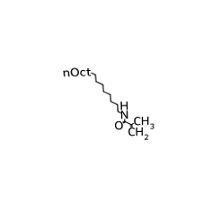 C=C(C)C(=O)NCCCCCCCCCCCCCCCC